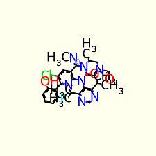 C/N=C(\c1cc(Cl)c(-c2c(O)cccc2F)nc1N(C=O)c1c(C(C)C)ncnc1C(C)C)N1CCN(C=O)CC1C